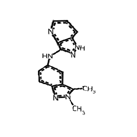 Cc1c2cc(Nc3n[nH]c4cccnc34)ccc2nn1C